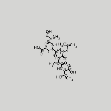 CC(C)C[C@H](NC(=O)[C@H](CCC(=O)O)NC(=O)[C@@H](N)CO)C(=O)N[C@@H](C)C(=O)N[C@H](C(=O)O)[C@@H](C)O